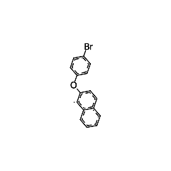 Brc1ccc(Oc2[c]c3ccccc3cc2)cc1